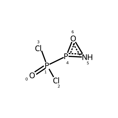 O=P(Cl)(Cl)p1[nH]o1